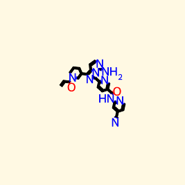 C=CC(=O)N1CCCC(c2nc(-c3ccc(C(=O)Nc4cc(C#N)ccn4)cn3)n3c(N)nccc23)C1